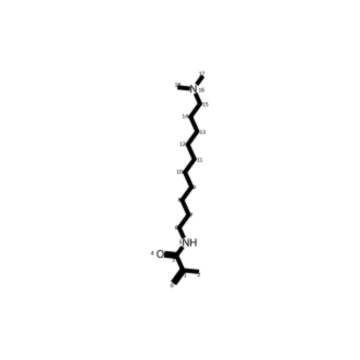 C=C(C)C(=O)NCCCCCCCCCCN(C)C